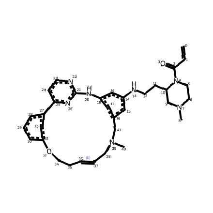 C=CC(=O)N1CCN(C)CC1CCNc1cc2cc(c1)Nc1nccc(n1)-c1cccc(c1)OCC/C=C/CN(C)C2